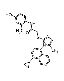 Cc1cc(O)ccc1NC(=O)CSc1nnc(C(F)(F)F)n1-c1ccc(C2CC2)c2ccccc12